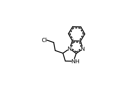 ClCCC1CNc2nc3ccccc3n21